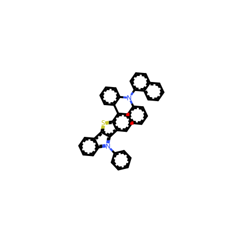 c1ccc(N(c2ccccc2-c2cccc3c2sc2c4ccccc4n(-c4ccccc4)c32)c2cccc3ccccc23)cc1